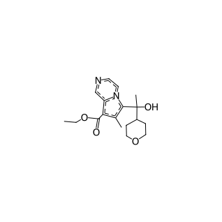 CCOC(=O)c1c(C)c(C(C)(O)C2CCOCC2)n2ccncc12